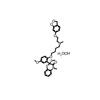 COc1ccc(OCCCCN(C)CCOc2ccc3c(c2)OOC3)c(C2(SC)Sc3ccccc3N(C)C2=O)c1.Cl.O